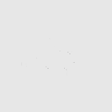 CCOc1nc2c(C)cc(C)nc2[nH]1